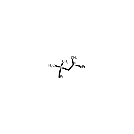 CCC[C@H](C)C[Si](C)(C)CCC